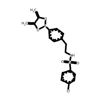 C=C1OB(c2ccc(CCNS(=O)(=O)c3ccc(Cl)cc3)cc2)OC1=C